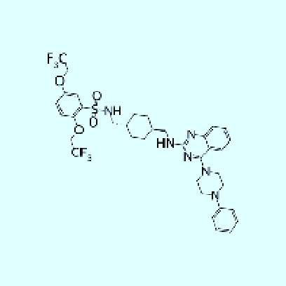 O=S(=O)(NC[C@H]1CC[C@H](CNc2nc(N3CCN(c4ccccc4)CC3)c3ccccc3n2)CC1)c1cc(OCC(F)(F)F)ccc1OCC(F)(F)F